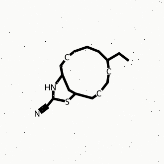 CCC1CCCCCC2CC(CCCC1)SC(C#N)N2